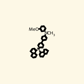 COc1cccc(N(C)c2ccc(-c3ccc(N(c4cccc5ccccc45)c4cccc5ccccc45)cc3)cc2)c1